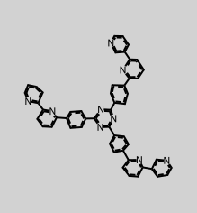 c1ccc(-c2cccc(-c3ccc(-c4nc(-c5ccc(-c6cccc(-c7cccnc7)n6)cc5)nc(-c5ccc(-c6cccc(-c7cccnc7)n6)cc5)n4)cc3)n2)nc1